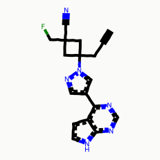 C#CCC1(n2cc(-c3ncnc4[nH]ccc34)cn2)CC(C#N)(CF)C1